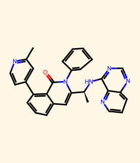 Cc1cc(-c2cccc3cc([C@H](C)Nc4ncnc5cccnc45)n(-c4ccccc4)c(=O)c23)ccn1